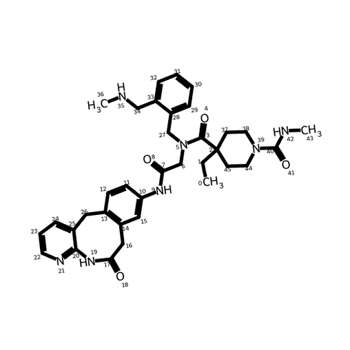 CCC1(C(=O)N(CC(=O)Nc2ccc3c(c2)CC(=O)Nc2ncccc2C3)Cc2ccccc2CNC)CCN(C(=O)NC)CC1